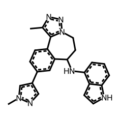 Cc1nnn2c1-c1ccc(-c3cnn(C)c3)cc1C(Nc1cccc3[nH]ccc13)CC2